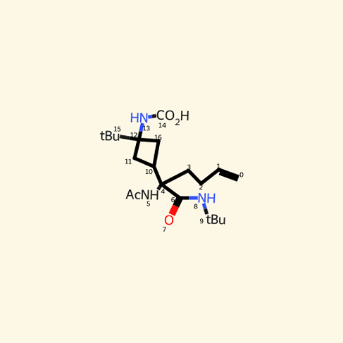 C=CCCC(NC(C)=O)(C(=O)NC(C)(C)C)C1CC(NC(=O)O)(C(C)(C)C)C1